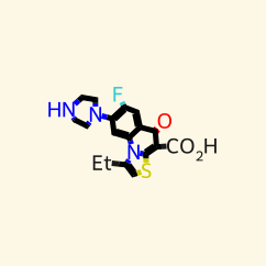 CCc1csc2c(C(=O)O)c(=O)c3cc(F)c(N4CCNCC4)cc3n12